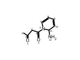 CC(=O)CC(=O)N1C=CC=CC1N